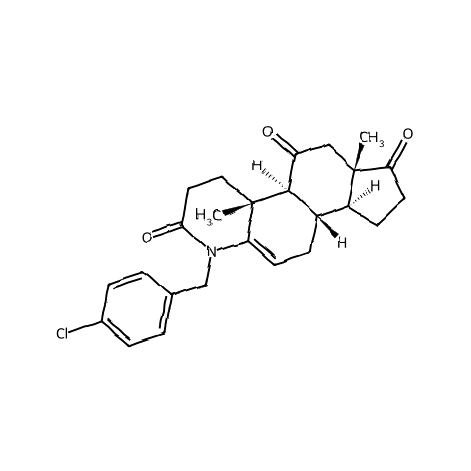 C[C@]12CCC(=O)N(Cc3ccc(Cl)cc3)C1=CC[C@@H]1[C@@H]2C(=O)C[C@]2(C)C(=O)CC[C@@H]12